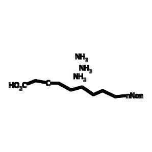 CCCCCCCCCCCCCCCCCC(=O)O.N.N.N